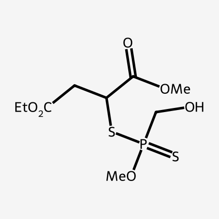 CCOC(=O)CC(SP(=S)(CO)OC)C(=O)OC